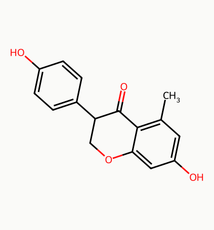 Cc1cc(O)cc2c1C(=O)C(c1ccc(O)cc1)CO2